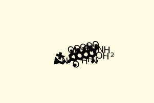 COc1c(CN(CC2CC2)CC(C)(C)C)cc(O)c2c1C[C@H]1C[C@H]3[C@H](N(C)C)C(O)=C(C(N)=O)C(=O)[C@@]3(O)C(O)=C1C2=O